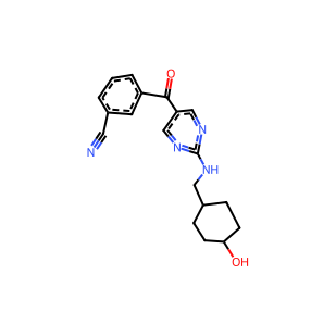 N#Cc1cccc(C(=O)c2cnc(NCC3CCC(O)CC3)nc2)c1